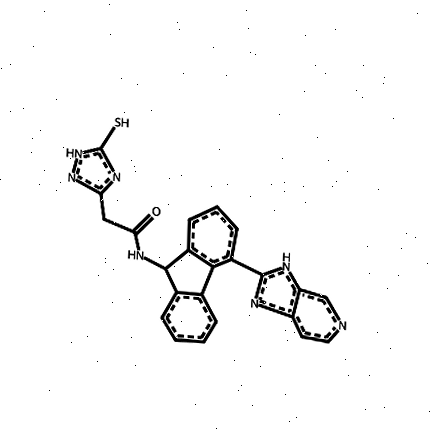 O=C(Cc1n[nH]c(S)n1)NC1c2ccccc2-c2c(-c3nc4ccncc4[nH]3)cccc21